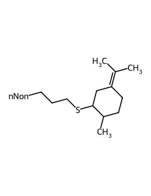 CCCCCCCCCCCCSC1CC(=C(C)C)CCC1C